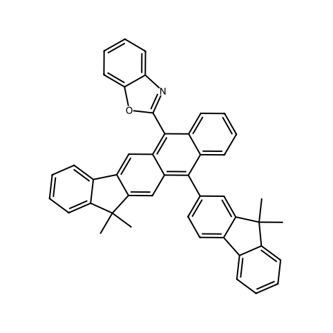 CC1(C)c2ccccc2-c2ccc(-c3c4ccccc4c(-c4nc5ccccc5o4)c4cc5c(cc34)C(C)(C)c3ccccc3-5)cc21